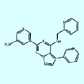 Nc1cncc(-c2nc(NCc3ncccn3)c3c(-c4ccccc4)ccn3n2)c1